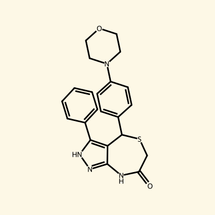 O=C1CSC(c2ccc(N3CCOCC3)cc2)c2c(n[nH]c2-c2ccccc2)N1